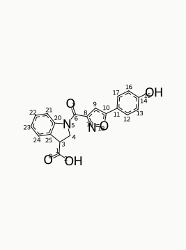 O=C(O)C1CN(C(=O)c2cc(-c3ccc(O)cc3)on2)c2ccccc21